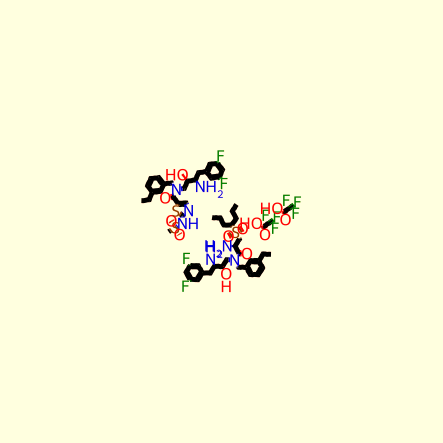 CCCC(CCC)S(=O)(=O)C[C@H](N)C(=O)N(Cc1cccc(CC)c1)C[C@@H](O)[C@@H](N)Cc1cc(F)cc(F)c1.CCc1cccc(CN(C[C@@H](O)[C@@H](N)Cc2cc(F)cc(F)c2)C(=O)c2cnc(NS(C)(=O)=O)s2)c1.O=C(O)C(F)(F)F.O=C(O)C(F)(F)F